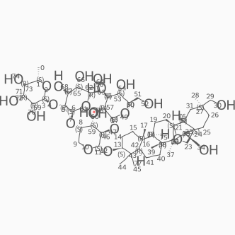 C[C@@H]1O[C@@H](O[C@H]2[C@H](O[C@H]3CO[C@@H](O[C@H]4CC[C@]5(C)[C@H]6CC[C@]78OC[C@@]9(CC[C@](C)(CO)C[C@H]97)[C@H](O)C[C@@]8(C)[C@]6(C)CC[C@H]5C4(C)C)[C@H](O[C@@H]4O[C@H](CO)[C@@H](O)[C@H](O)[C@H]4O)[C@H]3O)O[C@H](CO)[C@@H](O)[C@@H]2O)[C@H](O)[C@H](O)[C@H]1O